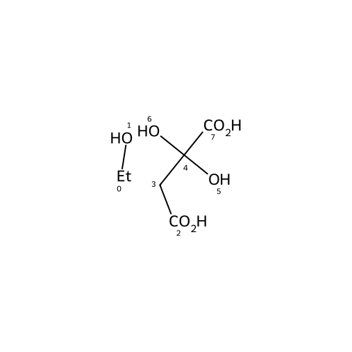 CCO.O=C(O)CC(O)(O)C(=O)O